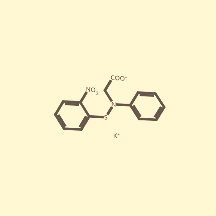 O=C([O-])CN(Sc1ccccc1[N+](=O)[O-])c1ccccc1.[K+]